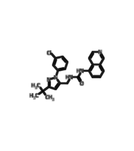 CC(C)(C)c1cc(CNC(=O)Nc2cccc3cnccc23)n(-c2cccc(Cl)c2)n1